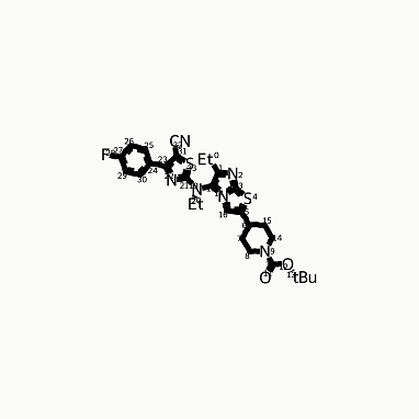 CCc1nc2sc(C3CCN(C(=O)OC(C)(C)C)CC3)cn2c1N(CC)c1nc(-c2ccc(F)cc2)c(C#N)s1